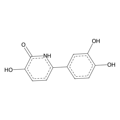 O=c1[nH]c(-c2ccc(O)c(O)c2)ccc1O